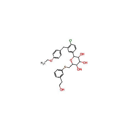 CCOc1ccc(Cc2cc(C3OC(CSc4cccc(CCO)c4)C(O)C(O)C3O)ccc2Cl)cc1